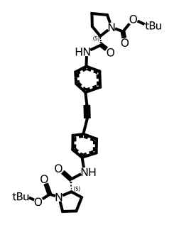 CC(C)(C)OC(=O)N1CCC[C@H]1C(=O)Nc1ccc(C#Cc2ccc(NC(=O)[C@@H]3CCCN3C(=O)OC(C)(C)C)cc2)cc1